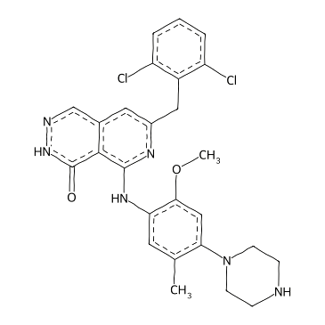 COc1cc(N2CCNCC2)c(C)cc1Nc1nc(Cc2c(Cl)cccc2Cl)cc2cn[nH]c(=O)c12